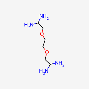 NC(N)COCCOCC(N)N